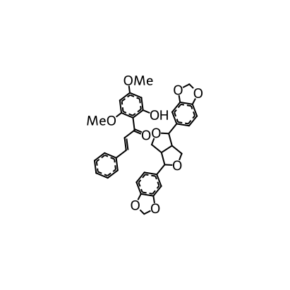 COc1cc(O)c(C(=O)C=Cc2ccccc2)c(OC)c1.c1cc2c(cc1C1OCC3C(c4ccc5c(c4)OCO5)OCC13)OCO2